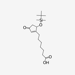 CC(C)(C)[Si](C)(C)OC1CC(=O)C=C1CCCCCCC(=O)O